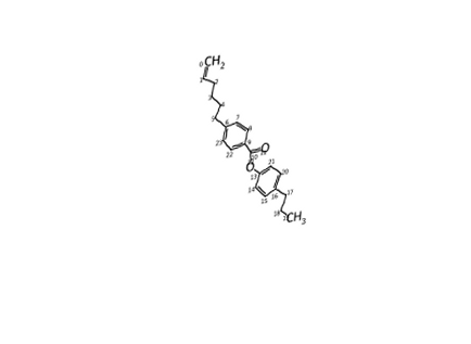 C=CCCCCc1ccc(C(=O)Oc2ccc(CCC)cc2)cc1